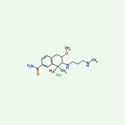 CNCCCNC1C(OC)Cc2ccc(C(N)=O)cc2C1(C)C.Cl